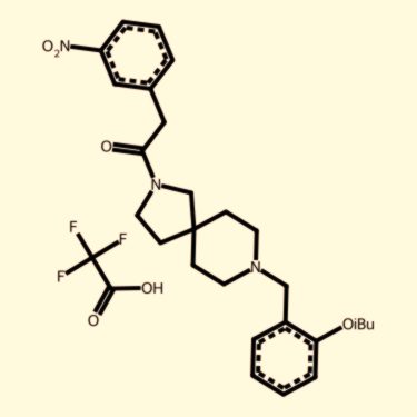 CC(C)COc1ccccc1CN1CCC2(CC1)CCN(C(=O)Cc1cccc([N+](=O)[O-])c1)C2.O=C(O)C(F)(F)F